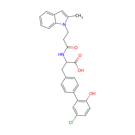 Cc1cc2ccccc2n1CCC(=O)NC(Cc1ccc(-c2cc(Cl)ccc2O)cc1)C(=O)O